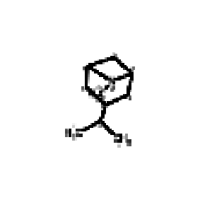 CC(C)C1CC2CC(C1)N2C